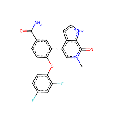 Cn1cc(-c2cc(C(N)=O)ccc2Oc2ccc(F)cc2F)c2cc[nH]c2c1=O